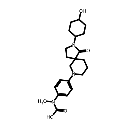 CN(C(=O)O)c1ccc(N2CCCC3(CCN(C4CCC(O)CC4)C3=O)C2)cc1